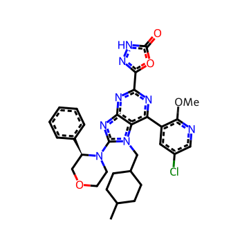 COc1ncc(Cl)cc1-c1nc(-c2n[nH]c(=O)o2)nc2nc(N3CCOC[C@H]3c3ccccc3)n(CC3CCC(C)CC3)c12